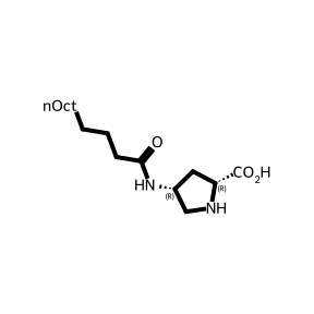 CCCCCCCCCCCC(=O)N[C@H]1CN[C@@H](C(=O)O)C1